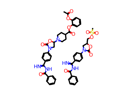 CC(=O)Oc1ccccc1OC(=O)C1CCN(C2CN(c3ccc(C(=N)NC(=O)c4ccccc4)cc3)C(=O)O2)CC1.CS(=O)(=O)OCC1CN(c2ccc(C(=N)NC(=O)c3ccccc3)cc2)C(=O)O1